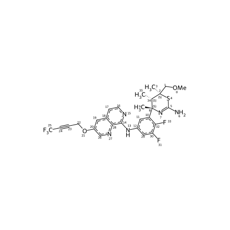 COC[C@@]1(C)SC(N)=N[C@](C)(c2cc(Nc3nccc4cc(OCC#CC(F)(F)F)cnc34)cc(F)c2F)[C@@H]1C